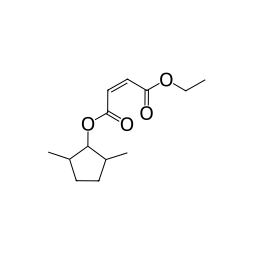 CCOC(=O)/C=C\C(=O)OC1C(C)CCC1C